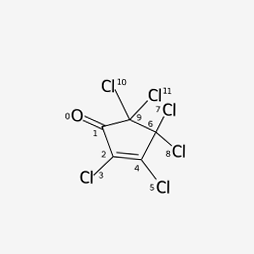 O=C1C(Cl)=C(Cl)C(Cl)(Cl)C1(Cl)Cl